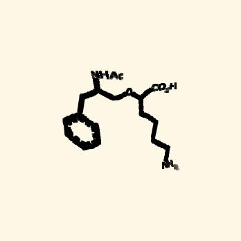 CC(=O)NC(COC(CCCCN)C(=O)O)Cc1ccccc1